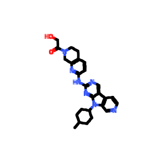 CC1CCC(n2c3cnccc3c3cnc(Nc4ccc5c(n4)CN(C(=O)CO)CC5)nc32)CC1